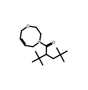 CC(C)(C)CC(C(=O)N1CC=CCOCC1)C(C)(C)C